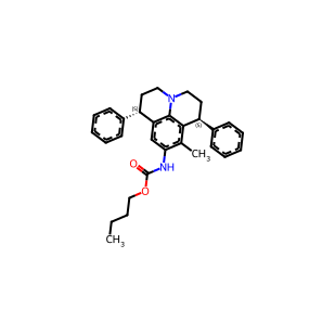 CCCCOC(=O)Nc1cc2c3c(c1C)[C@H](c1ccccc1)CCN3CC[C@H]2c1ccccc1